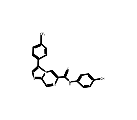 N#Cc1ccc(NC(=O)c2cn3c(-c4ccc(C(F)(F)F)cc4)cnc3cn2)cc1